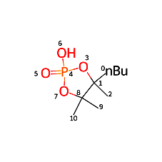 CCCCC1(C)OP(=O)(O)OC1(C)C